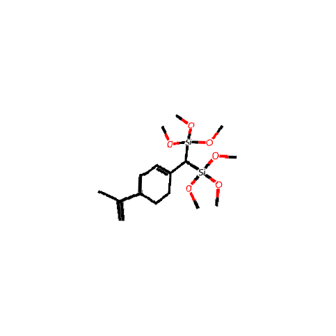 C=C(C)C1CC=C(C([Si](OC)(OC)OC)[Si](OC)(OC)OC)CC1